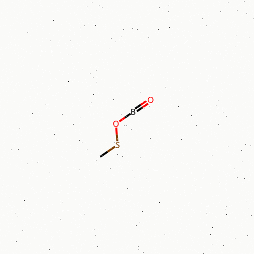 CSOB=O